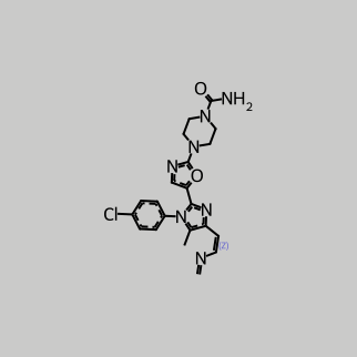 C=N/C=C\c1nc(-c2cnc(N3CCN(C(N)=O)CC3)o2)n(-c2ccc(Cl)cc2)c1C